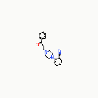 N#Cc1ccccc1N1CCN(CCC(=O)c2ccccc2)CC1